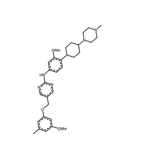 COc1cc(C)cc(OCc2cnc(Nc3ccc(N4CCC(N5CCN(C)CC5)CC4)c(OC)c3)nc2)c1